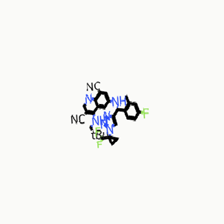 Cc1cc(F)ccc1[C@H](Nc1cc(C#N)c2ncc(C#N)c(NCC(C)(C)C)c2c1)c1cn(C2(C(F)F)CC2)nn1